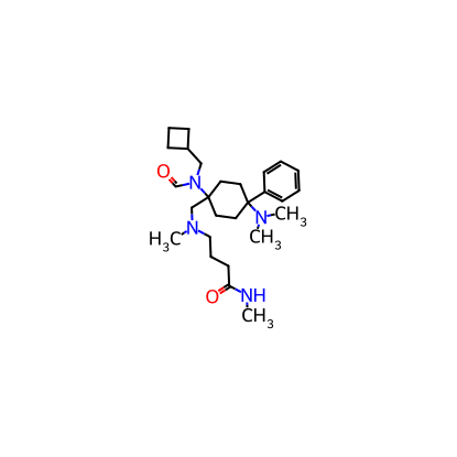 CNC(=O)CCCN(C)CC1(N(C=O)CC2CCC2)CCC(c2ccccc2)(N(C)C)CC1